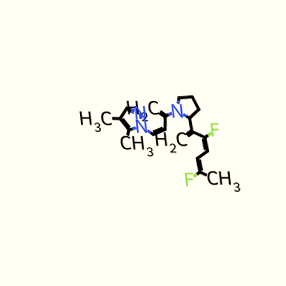 C=C(/C(F)=C\C=C(/C)F)C1CCCN1C(=C)/C=C\n1ncc(C)c1C